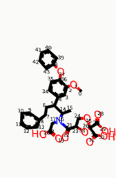 COc1cc(C(CCc2ccccc2)C(C)N(CC(=O)O)C(=O)C2COC(C(=O)O)(C(=O)O)O2)ccc1Oc1ccccc1